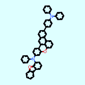 c1ccc(N(c2ccccc2)c2ccc(-c3ccc4cc5c6c(cccc6c4c3)Oc3cc(N(c4ccccc4)c4cccc6c4oc4ccccc46)ccc3-5)cc2)cc1